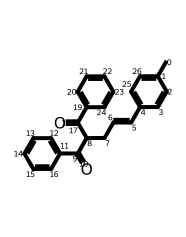 Cc1ccc(C=CCC(C(=O)c2ccccc2)C(=O)c2ccccc2)cc1